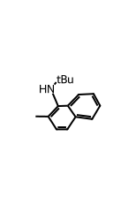 Cc1ccc2ccccc2c1NC(C)(C)C